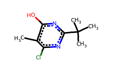 Cc1c(O)nc(C(C)(C)C)nc1Cl